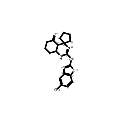 O=C1CCCC2NC(Nc3nc4cc(Cl)ccc4o3)=NC3(CCCC3)C12